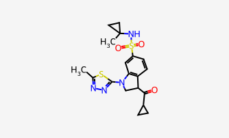 Cc1nnc(N2CC(C(=O)C3CC3)c3ccc(S(=O)(=O)NC4(C)CC4)cc32)s1